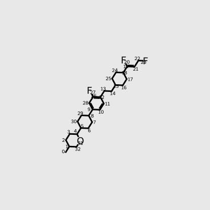 CC1CCC(C2CCC(c3ccc(CCC4CCC(/C(F)=C/CF)CC4)c(F)c3)CC2)OC1